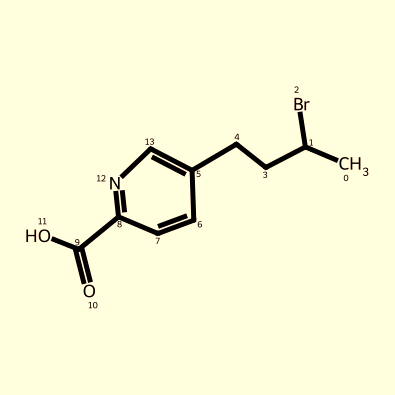 CC(Br)CCc1ccc(C(=O)O)nc1